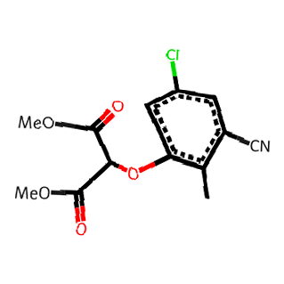 COC(=O)C(Oc1cc(Cl)cc(C#N)c1C)C(=O)OC